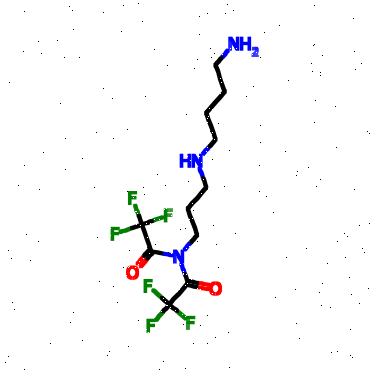 NCCCCNCCCN(C(=O)C(F)(F)F)C(=O)C(F)(F)F